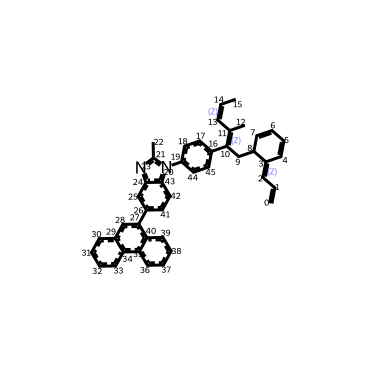 C=C/C=C1\C=CC=CC1C/C(=C(C)/C=C\C)c1ccc(-n2c(C)nc3cc(-c4cc5ccccc5c5ccccc45)ccc32)cc1